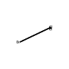 C[Si](Cl)(Cl)CCCCCCCCCCCCCCCCCCCCCCCCCCCCCCCCCCCCCCBr